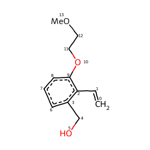 C=Cc1c(CO)cccc1OCCOC